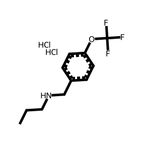 CCCNCc1ccc(OC(F)(F)F)cc1.Cl.Cl